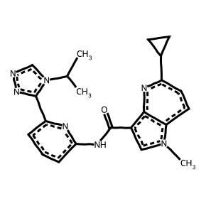 CC(C)n1cnnc1-c1cccc(NC(=O)c2cn(C)c3ccc(C4CC4)nc23)n1